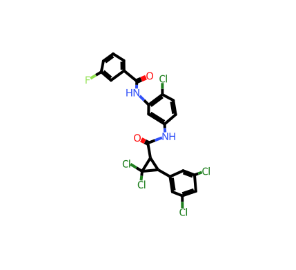 O=C(Nc1cc(NC(=O)C2C(c3cc(Cl)cc(Cl)c3)C2(Cl)Cl)ccc1Cl)c1cccc(F)c1